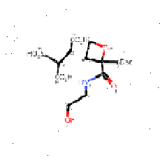 CCCCCCCCCCC1(C(=O)NCCO)CCO1.O=C(O)CC(C(=O)O)S(=O)(=O)O